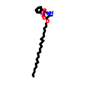 CCCCCCCCCCCCCCCCCCCCCCOC(=O)[C@H](C)N[PH](=O)Oc1ccccc1